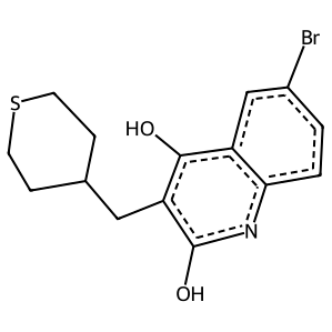 Oc1nc2ccc(Br)cc2c(O)c1CC1CCSCC1